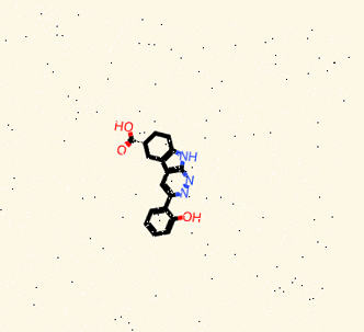 O=C(O)[C@@H]1CCc2[nH]c3nnc(-c4ccccc4O)cc3c2C1